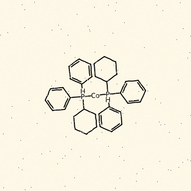 c1ccc([PH]([Co][PH](c2ccccc2)(c2ccccc2)C2CCCCC2)(c2ccccc2)C2CCCCC2)cc1